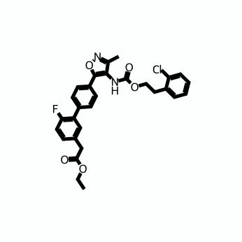 CCOC(=O)Cc1ccc(F)c(-c2ccc(-c3onc(C)c3NC(=O)OCCc3ccccc3Cl)cc2)c1